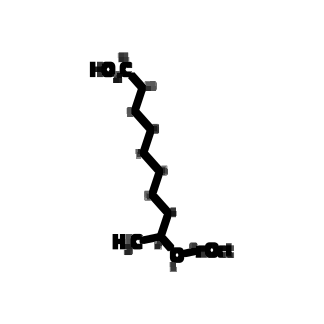 CCCCCCCCOC(C)CCCCCCCC(=O)O